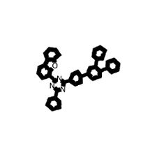 c1ccc(-c2nc(-c3ccc(-c4ccc(-c5ccccc5)c(-c5ccccc5)c4)cc3)nc(-c3cccc4c3oc3ccccc34)n2)cc1